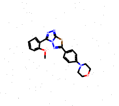 COc1ccccc1-c1nnc2sc(-c3ccc(N4CCOCC4)cc3)nn12